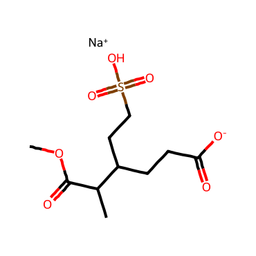 COC(=O)C(C)C(CCC(=O)[O-])CCS(=O)(=O)O.[Na+]